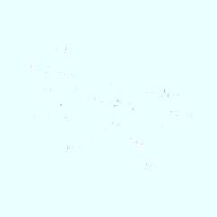 BC(B)(OP(=O)(O)O)[C@@]1(F)O[C@@](B)(n2cc(CO)c(=O)[nH]c2=S)[C@H](O)[C@@H]1O